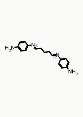 Nc1ccc(/N=C/CCC/C=N/c2ccc(N)cc2)cc1